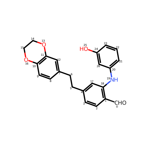 O=Cc1ccc(CCc2ccc3c(c2)OCCO3)cc1Nc1cccc(O)c1